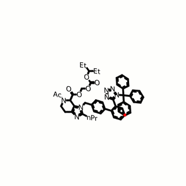 CCCc1nc2c(n1Cc1ccc(-c3ccccc3-c3nnnn3C(c3ccccc3)(c3ccccc3)c3ccccc3)cc1)C(C(=O)OCOC(=O)OC(CC)CC)N(C(C)=O)CC2